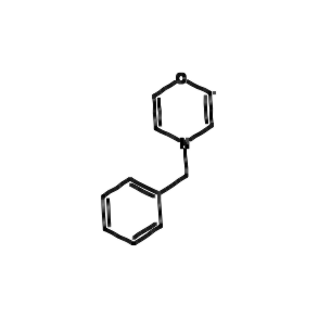 [C]1=CN(Cc2ccccc2)C=CO1